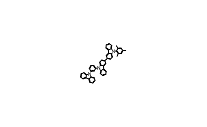 Cc1cc(C)c(-n2c3ccccc3c3cc(-c4ccc5c(c4)c4ccccc4n5-c4cccc(-n5c6ccccc6c6ccccc65)c4)ccc32)c(C)c1